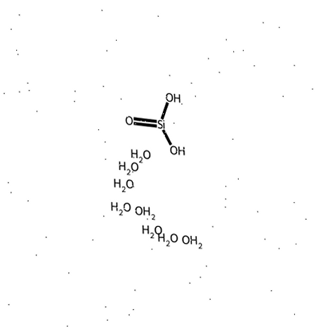 O.O.O.O.O.O.O.O.O=[Si](O)O